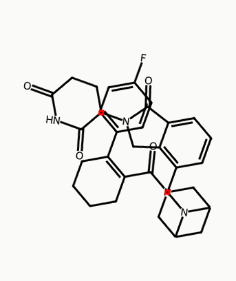 O=C1CCC(N2Cc3c(CN4C5CC4CN(C(=O)C4=C(c6ccc(F)cc6)CCCC4)C5)cccc3C2=O)C(=O)N1